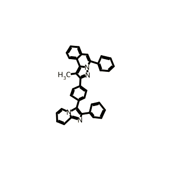 Cc1c(-c2ccc(-c3c(-c4ccccc4)nc4ccccn34)cc2)nn2c(-c3ccccc3)cc3ccccc3c12